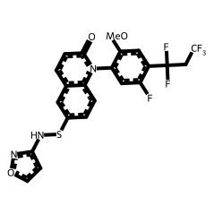 COc1cc(C(F)(F)CC(F)(F)F)c(F)cc1-n1c(=O)ccc2cc(SNc3ccon3)ccc21